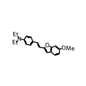 CCN(CC)c1ccc(C=Cc2cc3ccc(OC)cc3o2)cc1